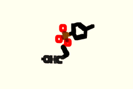 Cc1ccc(S(=O)(=O)OC=C[C]=O)cc1